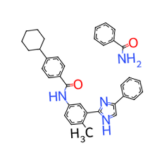 Cc1ccc(NC(=O)c2ccc(C3CCCCC3)cc2)cc1-c1nc(-c2ccccc2)c[nH]1.NC(=O)c1ccccc1